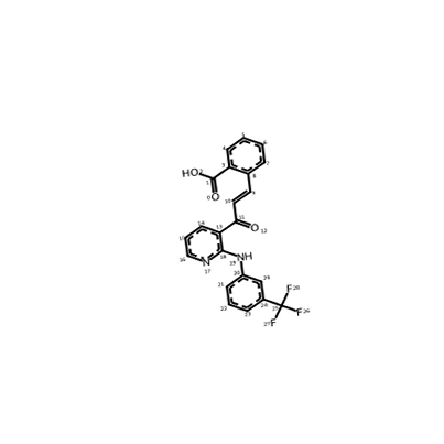 O=C(O)c1ccccc1/C=C/C(=O)c1cccnc1Nc1cccc(C(F)(F)F)c1